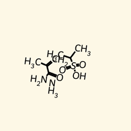 C=C(C)C(N)=O.CC(C)S(=O)(=O)O.N